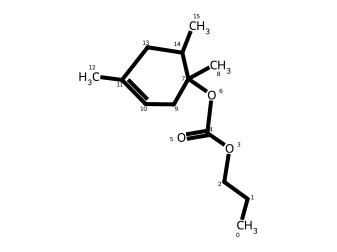 CCCOC(=O)OC1(C)CC=C(C)CC1C